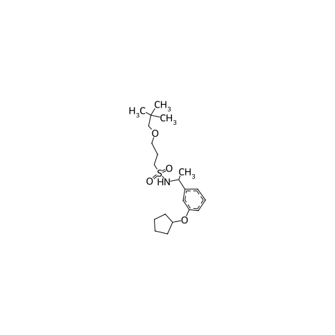 CC(NS(=O)(=O)CCCOCC(C)(C)C)c1cccc(OC2CCCC2)c1